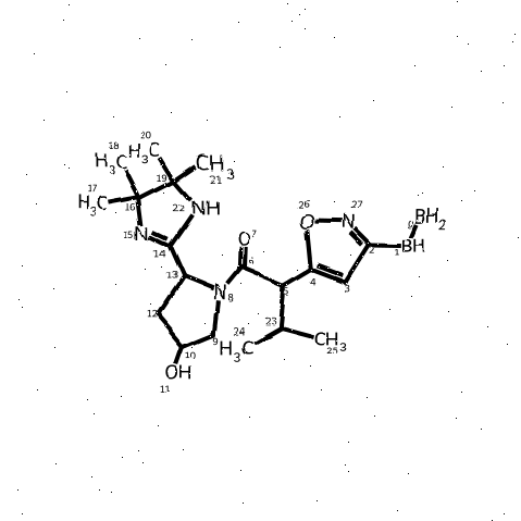 BBc1cc(C(C(=O)N2CC(O)CC2C2=NC(C)(C)C(C)(C)N2)C(C)C)on1